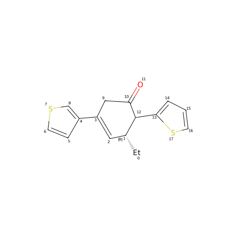 CC[C@@H]1C=C(c2ccsc2)CC(=O)C1c1cccs1